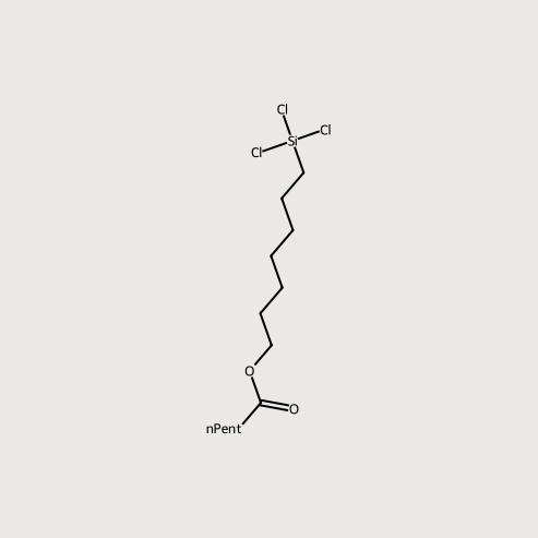 CCCCCC(=O)OCCCCCCC[Si](Cl)(Cl)Cl